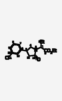 CCOC(=O)C(CC)N1CC(c2cccc(Cl)c2)CC1=O